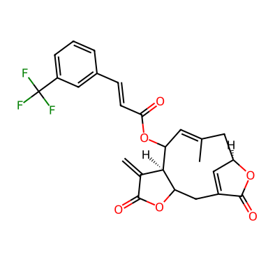 C=C1C(=O)OC2CC3=C[C@@H](C/C(C)=C/C(OC(=O)/C=C/c4cccc(C(F)(F)F)c4)[C@H]12)OC3=O